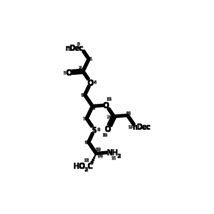 CCCCCCCCCCCC(=O)OCC(CSC[C@H](N)C(=O)O)OC(=O)CCCCCCCCCCC